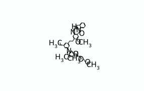 CCc1cc(CCc2cc3c(cc2OC)C(=O)N2c4ccccc4C[C@H]2C=N3)cc(N(CCOCCOCCOC)CC(C)(C)C)c1